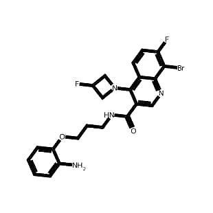 Nc1ccccc1OCCCNC(=O)c1cnc2c(Br)c(F)ccc2c1N1CC(F)C1